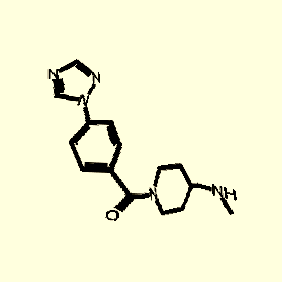 CNC1CCN(C(=O)c2ccc(-n3cncn3)cc2)CC1